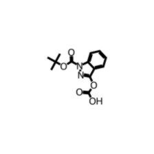 CC(C)(C)OC(=O)n1nc(OC(=O)O)c2ccccc21